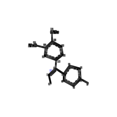 C/C=C(\c1ccc(C)cc1)c1ccc(OC)c(OC)c1